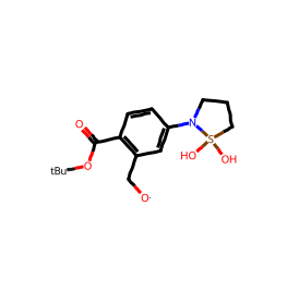 CC(C)(C)OC(=O)c1ccc(N2CCCS2(O)O)cc1C[O]